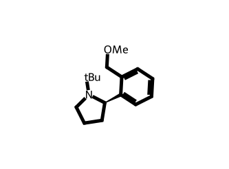 COCc1ccccc1[C@H]1CCCN1C(C)(C)C